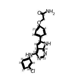 NC(=O)COc1ccc(-c2cc3c(Nc4cccc(Cl)c4)ncnc3[nH]2)cc1